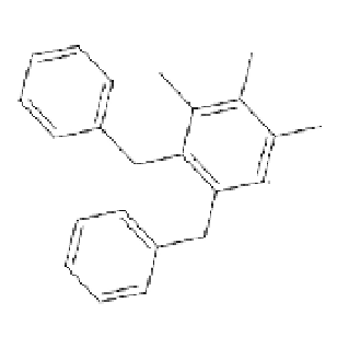 Cc1[c]c(Cc2ccccc2)c(Cc2ccccc2)c(C)c1C